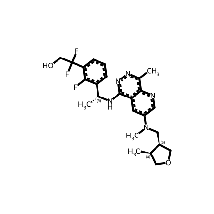 Cc1nnc(N[C@H](C)c2cccc(C(F)(F)CO)c2F)c2cc(N(C)C[C@H]3COC[C@H]3C)cnc12